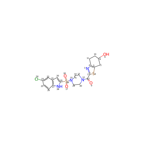 O=C(c1nc2c(s1)CC(O)CC2)N1CCN(S(=O)(=O)c2cc3cc(Cl)ccc3[nH]2)CC1